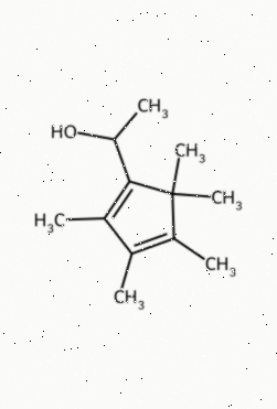 CC1=C(C)C(C)(C)C(C(C)O)=C1C